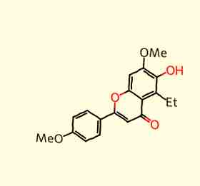 CCc1c(O)c(OC)cc2oc(-c3ccc(OC)cc3)cc(=O)c12